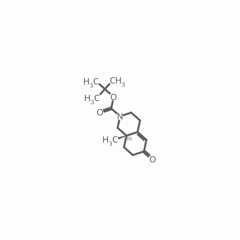 CC(C)(C)OC(=O)N1CCC2=CC(=O)CC[C@]2(C)C1